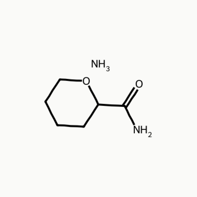 N.NC(=O)C1CCCCO1